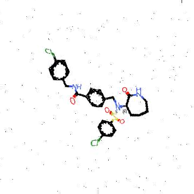 O=C(NCc1ccc(Cl)cc1)c1ccc(CN([C@@H]2CCCCNC2=O)S(=O)(=O)c2ccc(Cl)cc2)cc1